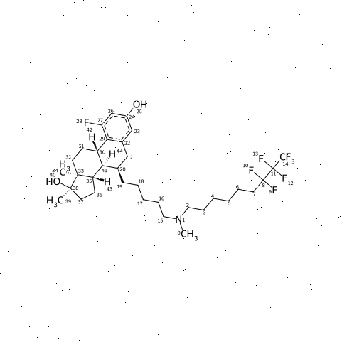 CN(CCCCCCC(F)(F)C(F)(F)C(F)(F)F)CCCCC[C@@H]1Cc2cc(O)cc(F)c2[C@H]2CC[C@@]3(C)[C@@H](CC[C@@]3(C)O)[C@H]12